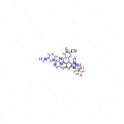 N#Cc1ccc(-c2nc3c(N4CCC[C@@H](N)C4)nccn3c2-c2cc3c(cc2F)N(CC2(O)CCC2)NN3)cc1F